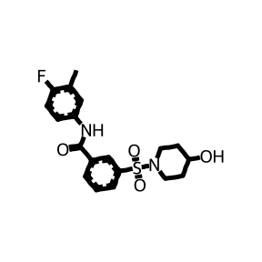 Cc1cc(NC(=O)c2cccc(S(=O)(=O)N3CCC(O)CC3)c2)ccc1F